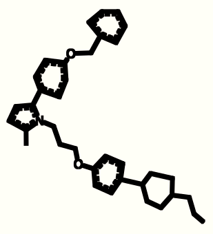 CCCC1CCC(c2ccc(OCCCn3c(C)ccc3-c3ccc(OCc4ccccc4)cc3)cc2)CC1